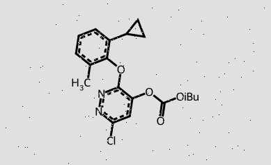 Cc1cccc(C2CC2)c1Oc1nnc(Cl)cc1OC(=O)OCC(C)C